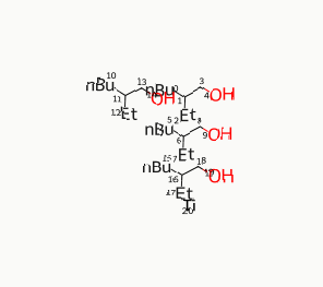 CCCCC(CC)CO.CCCCC(CC)CO.CCCCC(CC)CO.CCCCC(CC)CO.[Ti]